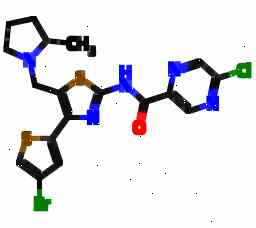 CC1CCCN1Cc1sc(NC(=O)c2cnc(Cl)cn2)nc1-c1cc(Br)cs1